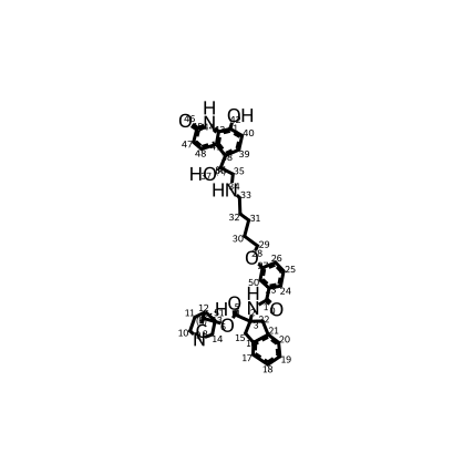 O=C(NC1(C(=O)O[C@H]2CN3CCC2CC3)Cc2ccccc2C1)c1cccc(OCCCCCNC[C@H](O)c2ccc(O)c3[nH]c(=O)ccc23)c1